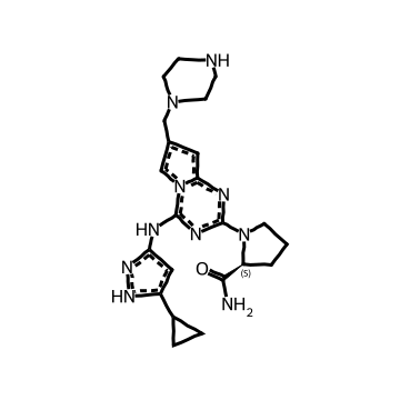 NC(=O)[C@@H]1CCCN1c1nc(Nc2cc(C3CC3)[nH]n2)n2cc(CN3CCNCC3)cc2n1